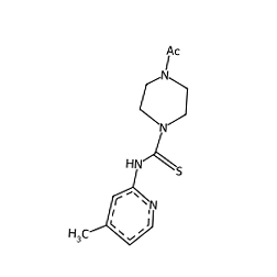 CC(=O)N1CCN(C(=S)Nc2cc(C)ccn2)CC1